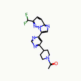 CC(=O)N1CCC(c2cc(-c3cnc4ccc(C(F)F)nn34)ncn2)CC1